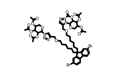 CC(=O)OC1COC(n2cc(COCCCCCCC3(CCCCCCOCc4cnnn4C4OCC(OC(C)=O)C(OC(C)=O)C4OC(C)=O)c4cc(Br)ccc4-c4ccc(Br)cc43)nn2)C(OC(C)=O)C1OC(C)=O